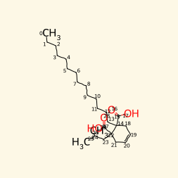 CCCCCCCCCCCCCCC1(C(=O)O)CC=CCC1(CC(C)C)C(=O)O